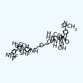 Cc1ncsc1-c1ccc(CNC(=O)[C@@H]2C[C@@H](O)CN2C(=O)[C@@H](NC(=O)COCCCOCCCCNc2ccc(N3C(S)N(c4ccc(C#N)c(C(F)(F)F)c4)C(=O)C3(C)C)cc2F)C(C)(C)C)cc1